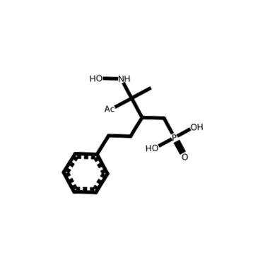 CC(=O)C(C)(NO)C(CCc1ccccc1)CP(=O)(O)O